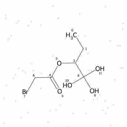 CCC(OC(=O)CBr)C(O)(O)O